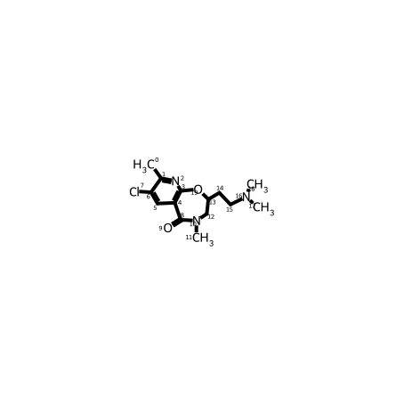 Cc1nc2c(cc1Cl)C(=O)N(C)CC(CCN(C)C)O2